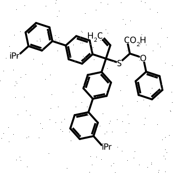 C=CC(SC(Oc1ccccc1)C(=O)O)(c1ccc(-c2cccc(C(C)C)c2)cc1)c1ccc(-c2cccc(C(C)C)c2)cc1